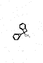 CC1([C]2c3ccccc32)Cc2ccccc21